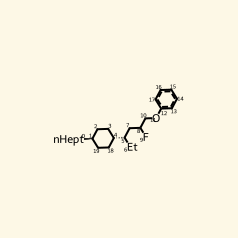 CCCCCCC[C@H]1CC[C@H](C(CC)CC(F)COc2ccccc2)CC1